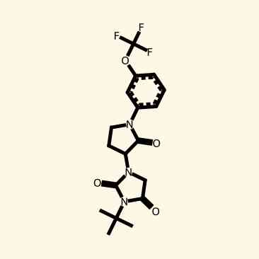 CC(C)(C)N1C(=O)CN(C2CCN(c3cccc(OC(F)(F)F)c3)C2=O)C1=O